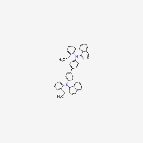 CCc1ccccc1N(c1ccc(-c2ccc(N(c3ccccc3CC)c3cccc4ccccc34)cc2)cc1)c1cccc2ccccc12